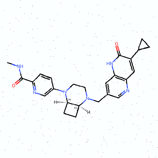 CNC(=O)c1ccc(N2CCN(Cc3cnc4cc(C5CC5)c(=O)[nH]c4c3)[C@H]3CC[C@H]32)cn1